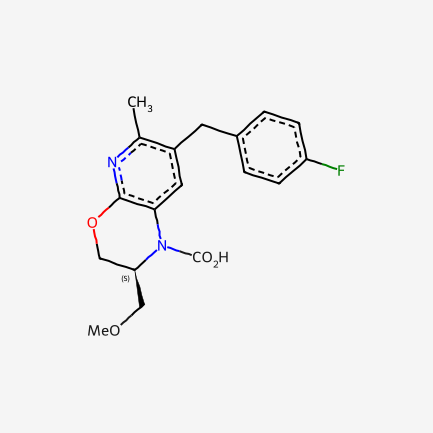 COC[C@H]1COc2nc(C)c(Cc3ccc(F)cc3)cc2N1C(=O)O